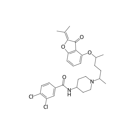 CC(C)=C1Oc2cccc(OC(C)CCC(C)N3CCC(NC(=O)c4ccc(Cl)c(Cl)c4)CC3)c2C1=O